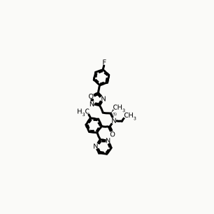 CCN(C(=O)c1cc(C)ccc1-c1ncccn1)[C@@H](C)Cc1noc(-c2ccc(F)cc2)n1